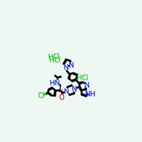 CC(C)NC[C@@H](C(=O)N1CCN(c2c(-c3ccc(Cn4cccn4)cc3)cnc3[nH]ccc23)CC1)c1ccc(Cl)cc1.Cl.Cl.Cl